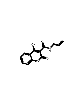 C=CCNC(=O)c1c(O)c2ccccc2oc1=O